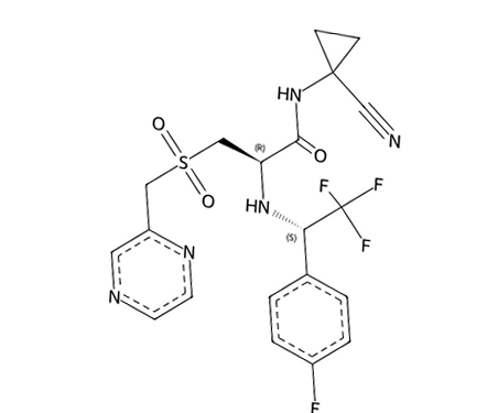 N#CC1(NC(=O)[C@H](CS(=O)(=O)Cc2cnccn2)N[C@@H](c2ccc(F)cc2)C(F)(F)F)CC1